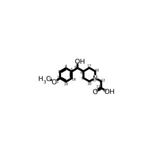 COc1ccc(C(O)C2CCN(CC(=O)O)CC2)cc1